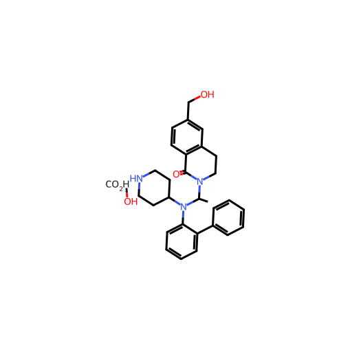 CC(N1CCc2cc(CO)ccc2C1=O)N(c1ccccc1-c1ccccc1)C1CCNCC1.O=C(O)O